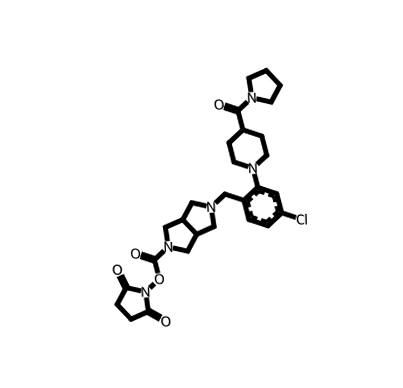 O=C(ON1C(=O)CCC1=O)N1CC2CN(Cc3ccc(Cl)cc3N3CCC(C(=O)N4CCCC4)CC3)CC2C1